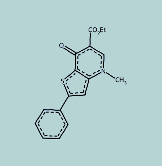 CCOC(=O)c1cn(C)c2cc(-c3ccccc3)sc2c1=O